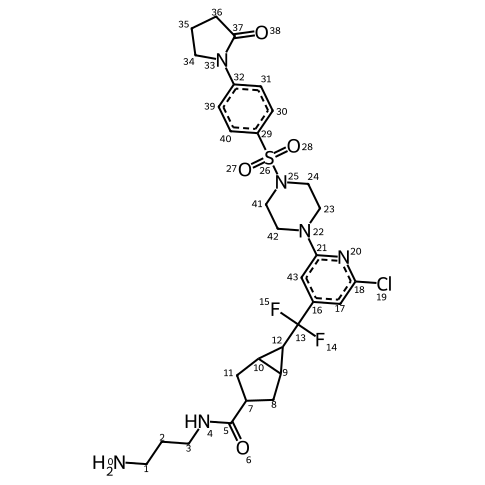 NCCCNC(=O)C1CC2C(C1)C2C(F)(F)c1cc(Cl)nc(N2CCN(S(=O)(=O)c3ccc(N4CCCC4=O)cc3)CC2)c1